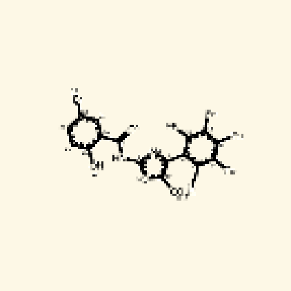 O=C(Nc1nc(-c2c(F)c(F)c(F)c(F)c2F)c(C(=O)O)s1)c1cc(Br)ccc1O